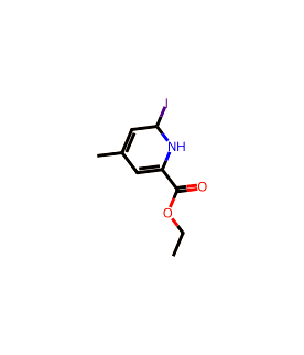 CCOC(=O)C1=CC(C)=CC(I)N1